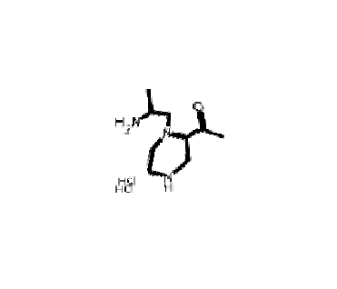 CC(=O)C1CNCCN1CC(C)N.Cl.Cl